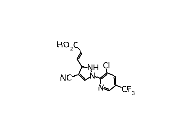 N#CC1=CN(c2ncc(C(F)(F)F)cc2Cl)NC1C=CC(=O)O